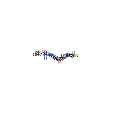 CNC(=O)C(CCC=O)Nc1cccc(N2CCN(C3CC4(CCN(C(=O)c5ccc(N6CCC7(CCN(c8ccc(C#N)c(Cl)c8)C7)CC6)c(F)c5)CC4)C3)CC2)c1